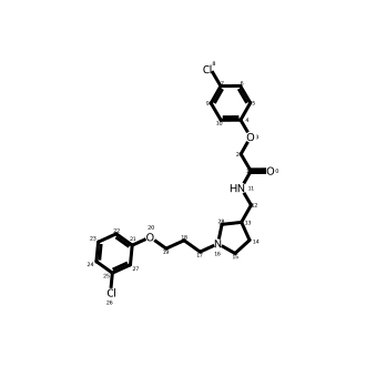 O=C(COc1ccc(Cl)cc1)NCC1CCN(CCCOc2cccc(Cl)c2)C1